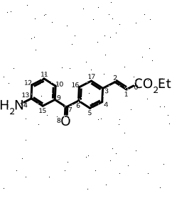 CCOC(=O)/C=C/c1ccc(C(=O)c2cccc(N)c2)cc1